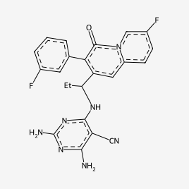 CCC(Nc1nc(N)nc(N)c1C#N)c1cc2ccc(F)cn2c(=O)c1-c1cccc(F)c1